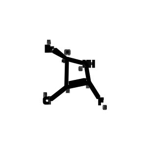 FC1=C(Cl)[C@@H](Br)N1